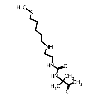 CSCCCCCNCCNC(=O)NC(C)(C)C(C)=O